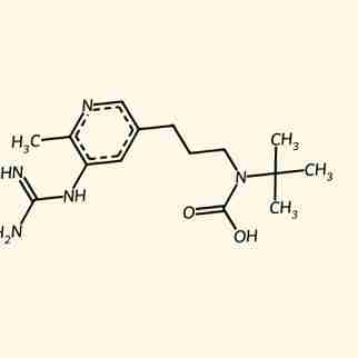 Cc1ncc(CCCN(C(=O)O)C(C)(C)C)cc1NC(=N)N